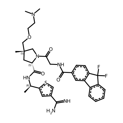 C[C@@H](NC(=O)[C@@H]1C[C@](C)(COCCN(C)C)CN1C(=O)CNC(=O)c1ccc2c(c1)-c1ccccc1C2(F)F)c1cc(C(=N)N)cs1